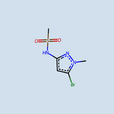 Cn1nc(NS(C)(=O)=O)cc1Br